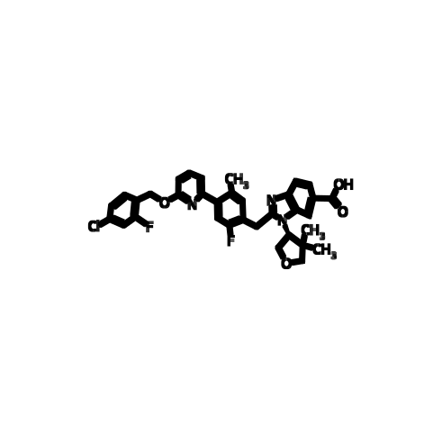 Cc1cc(Cc2nc3ccc(C(=O)O)cc3n2[C@@H]2COCC2(C)C)c(F)cc1-c1cccc(OCc2ccc(Cl)cc2F)n1